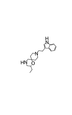 CCC1CNCC2(CCN(CCc3c[nH]c4ccccc34)CC2)O1